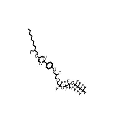 CCCCCCCCC(F)COc1cnc(-c2ccc(OCC(F)COCC(F)(F)OC(F)(F)C(F)(F)OC(F)(F)C(F)(F)C(F)(F)C(F)(F)F)cc2)nc1